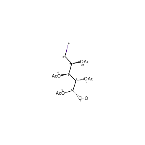 CC(=O)O[C@H]([C@H](OC(C)=O)[C@H](C=O)OC(C)=O)[C@@H](CI)OC(C)=O